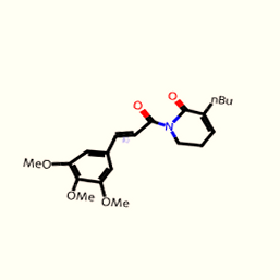 CCCCC1=CCCN(C(=O)/C=C/c2cc(OC)c(OC)c(OC)c2)C1=O